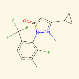 Cc1ccc(C(F)(F)F)c(-n2c(=O)cc(C3CC3)n2C)c1F